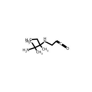 CCC(C)(NCC=C=O)C(C)(C)N